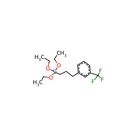 CCO[Si](CCCc1cccc(C(F)(F)F)c1)(OCC)OCC